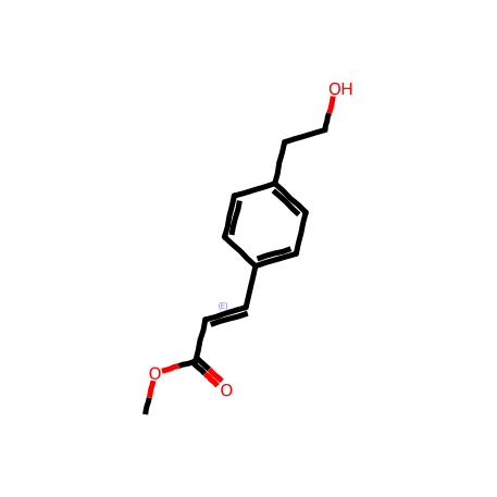 COC(=O)/C=C/c1ccc(CCO)cc1